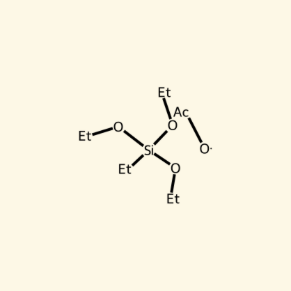 CC([O])=O.CCO[Si](CC)(OCC)OCC